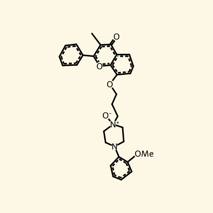 COc1ccccc1N1CC[N+]([O-])(CCCOc2cccc3c(=O)c(C)c(-c4ccccc4)oc23)CC1